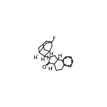 O=C1[C@@H]2CCc3ccccc3[C@H]2CN1[C@H]1[C@@H]2CC3C[C@H]1C[C@](F)(C3)C2